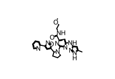 COCCNC(=O)c1cc(Nc2cc(C)[nH]n2)nc(N2CCCC2c2cc(-c3ccccn3)no2)n1